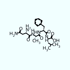 CC(C)C[C@H](NC(=O)[C@H](Cc1ccccc1)NC(=O)[C@H](C)NC(=O)[C@@H](N)CC(N)=O)C(=O)O